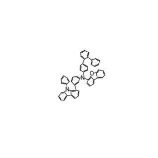 c1ccc(-c2ccccc2-c2ccc(N(c3cccc(-c4cccc5c6ccccc6n(-c6ccccc6)c45)c3)c3cccc4c3oc3ccccc34)cc2)cc1